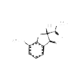 COC(=O)C1(C)Oc2c(OC)cccc2C1=O